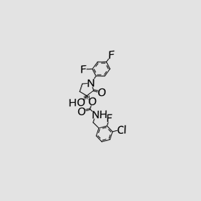 O=C(NCc1cccc(Cl)c1F)O[C@]1(O)CCN(c2ccc(F)cc2F)C1=O